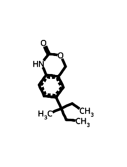 CCC(C)(CC)c1ccc2c(c1)COC(=O)N2